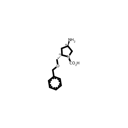 N[C@@H]1C[C@@H](COCc2ccccc2)N(C(=O)O)C1